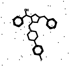 OC(c1ccccc1)C1CN(Cc2ccccc2)CC1CN1CCC(c2ccc(F)cc2)CC1